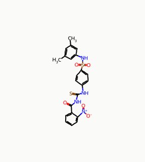 Cc1cc(C)cc(NS(=O)(=O)c2ccc(NC(=S)NC(=O)c3ccccc3[N+](=O)[O-])cc2)c1